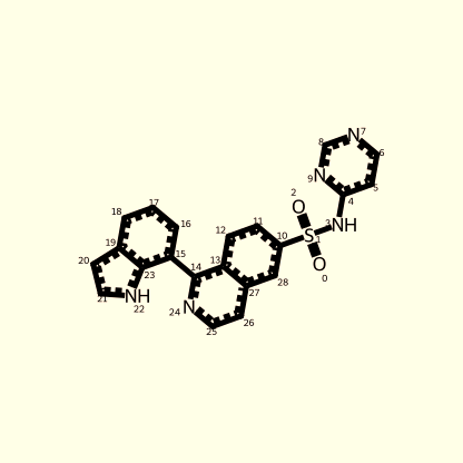 O=S(=O)(Nc1ccncn1)c1ccc2c(-c3cccc4cc[nH]c34)nccc2c1